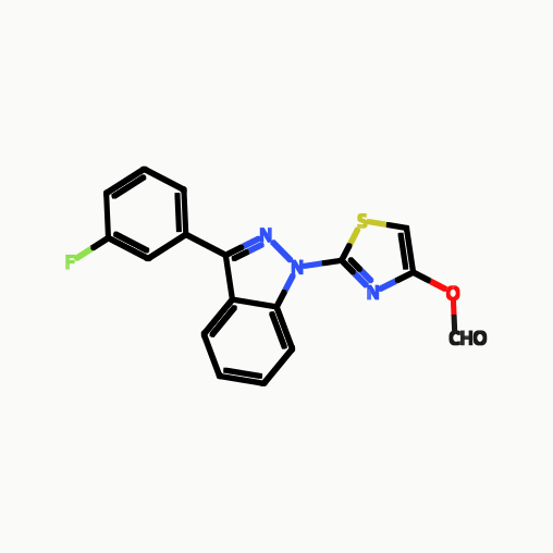 O=COc1csc(-n2nc(-c3cccc(F)c3)c3ccccc32)n1